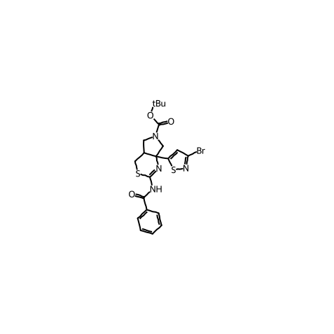 CC(C)(C)OC(=O)N1CC2CSC(NC(=O)c3ccccc3)=NC2(c2cc(Br)ns2)C1